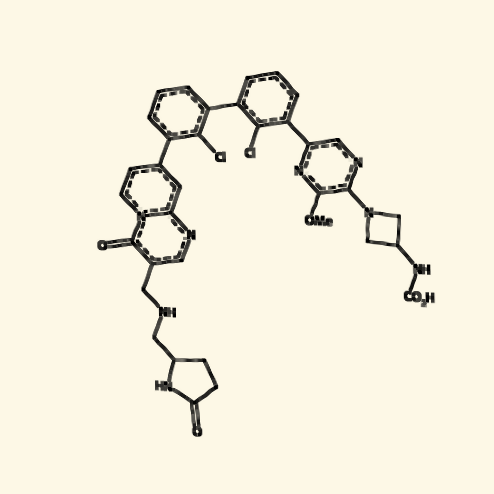 COc1nc(-c2cccc(-c3cccc(-c4ccn5c(=O)c(CNCC6CCC(=O)N6)cnc5c4)c3Cl)c2Cl)cnc1N1CC(NC(=O)O)C1